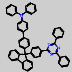 c1ccc(-c2nc(-c3ccccc3)nc(-c3ccc(C4(c5ccc(-c6ccc(N(c7ccccc7)c7ccccc7)cc6)cc5)c5ccccc5-c5ccccc54)cc3)n2)cc1